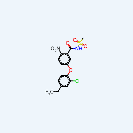 CS(=O)(=O)NC(=O)c1cc(Oc2ccc(CC(F)(F)F)cc2Cl)ccc1[N+](=O)[O-]